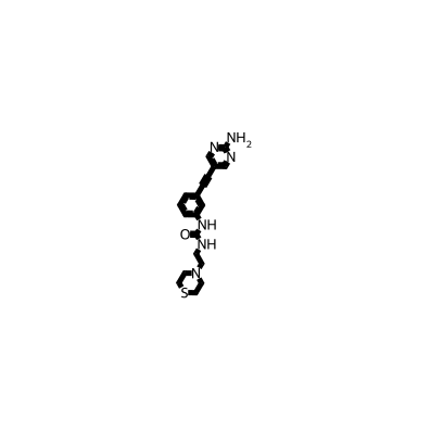 Nc1ncc(C#Cc2cccc(NC(=O)NCCN3CCSCC3)c2)cn1